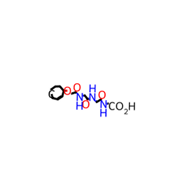 O=C(O)CNC(=O)CNC(=O)CNC(=O)COC1/C=C\CCCCC1